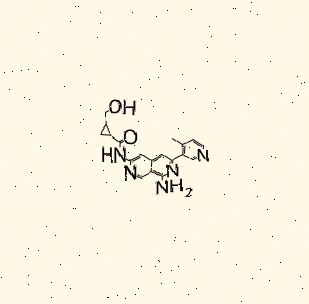 Cc1ccncc1-c1cc2cc(NC(=O)C3CC3CO)ncc2c(N)n1